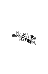 CC(C)(C)NCC(=O)Nc1cc(N)c2c(c1O)C(=O)C1=C(O)[C@]3(O)C(=O)C(C(N)=O)=C(O)[C@@H](N)C3CC1C2